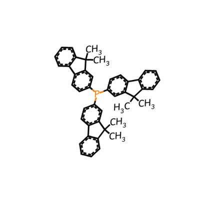 CC1(C)c2ccccc2-c2ccc(P(c3ccc4c(c3)C(C)(C)c3ccccc3-4)c3ccc4c(c3)C(C)(C)c3ccccc3-4)cc21